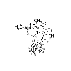 CN(C)CC(P(C(C)(C)C)C(C)(C)C)[C]12[CH]3[CH]4[CH]5[CH]1[Fe]45321678[CH]2[CH]1[CH]6[CH]7[CH]28